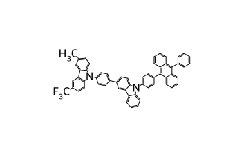 Cc1ccc2c(c1)c1cc(C(F)(F)F)ccc1n2-c1ccc(-c2ccc3c(c2)c2ccccc2n3-c2ccc(-c3c4ccccc4c(-c4ccccc4)c4ccccc34)cc2)cc1